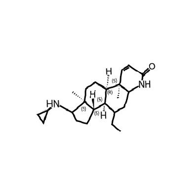 CCC1CC2NC(=O)C=C[C@]2(C)[C@@H]2CC[C@]3(C)C(NC4CC4)CC[C@H]3[C@H]12